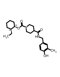 CC[C@H]1CCCC[C@H]1OC(=O)N1CCC(C(=O)NCc2ccc(O)c(C)c2)CC1